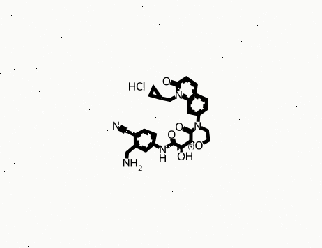 Cl.N#Cc1ccc(NC(=O)[C@H](O)[C@H]2OCCN(c3ccc4ccc(=O)n(CC5CC5)c4c3)C2=O)cc1CN